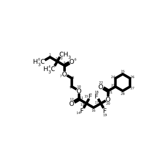 CCC(C)(C)C(=O)OCCOC(=O)C(F)(F)CC(F)(F)OC(=O)C1CCCCC1